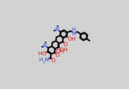 Cc1ccc(CNCc2cc(N(C)C)c3c(c2O)C(=O)C2=C(O)C4(O)C(=O)C(C(N)=O)=C(O)C(N(C)C)C4CC2C3)cc1